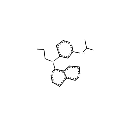 CC(C)Nc1cc(N(CCO)c2nccc3cnccc23)ccn1